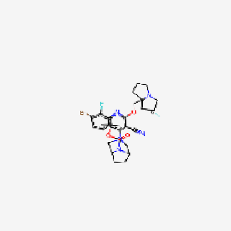 CC(C)(C)OC(=O)N1C2CCC1CN(c1c(C#N)c(OCC34CCCN3C[C@H](F)C4)nc3c(F)c(Br)ccc13)C2